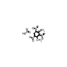 Cc1c([N+](=O)[O-])cc([N+](=O)[O-])c(N)c1[N+](=O)[O-].O=[N+]([O-])O